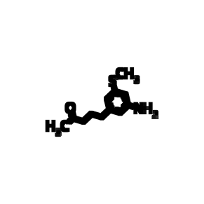 CSc1cc(N)cc(CCCC(C)=O)c1